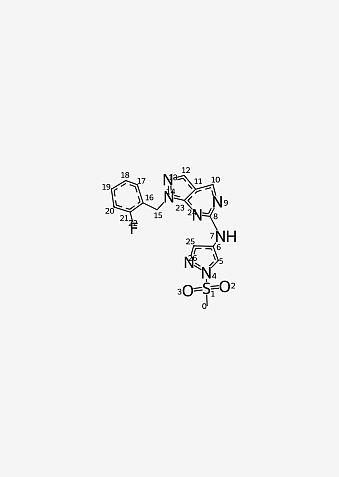 CS(=O)(=O)n1cc(Nc2ncc3cnn(Cc4ccccc4F)c3n2)cn1